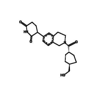 O=C1CCC(c2ccc3c(c2)CCN(C(=O)[C@H]2CC[C@H](CO)CC2)C3)C(=O)N1